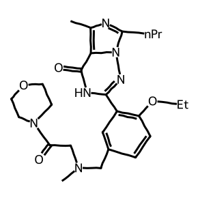 CCCc1nc(C)c2c(=O)[nH]c(-c3cc(CN(C)CC(=O)N4CCOCC4)ccc3OCC)nn12